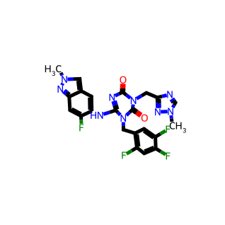 Cn1cnc(Cn2c(=O)nc(Nc3cc4cn(C)nc4cc3F)n(Cc3cc(F)c(F)cc3F)c2=O)n1